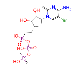 C=C1N=C(N)C(Br)=CN1[C@@H]1C[C@H](CCP(=O)(O)OP(=O)(O)OP(=C)(C)O)C(O)[C@@H]1O